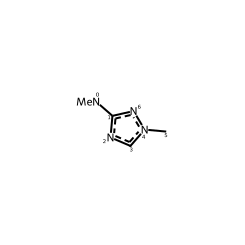 CNc1ncn(C)n1